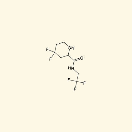 O=C(NCC(F)(F)F)C1CC(F)(F)CCN1